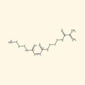 C=C(C)C(=O)OCCCOC(=O)/C=C\C(=O)OCCCO